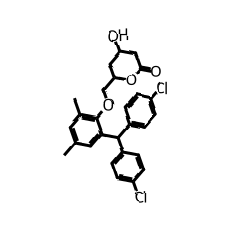 Cc1cc(C)c(OCC2CC(O)CC(=O)O2)c(C(c2ccc(Cl)cc2)c2ccc(Cl)cc2)c1